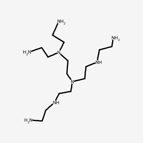 NCCNCCN(CCNCCN)CCN(CCN)CCN